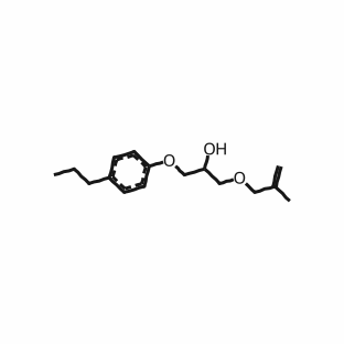 C=C(C)COCC(O)COc1ccc(CCC)cc1